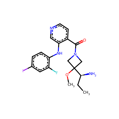 CC[C@H](N)C1(OC)CN(C(=O)c2ccncc2Nc2ccc(I)cc2F)C1